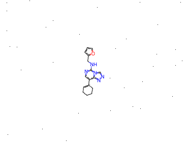 C1=C(c2cnc(NCc3ccco3)n3cnnc23)CCCC1